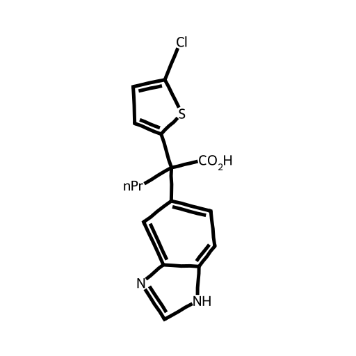 CCCC(C(=O)O)(c1ccc2[nH]cnc2c1)c1ccc(Cl)s1